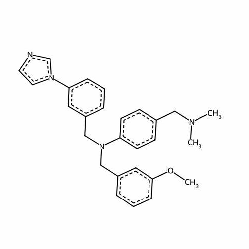 COc1cccc(CN(Cc2cccc(-n3ccnc3)c2)c2ccc(CN(C)C)cc2)c1